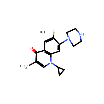 O=C(O)c1cn(C2CC2)c2cc(N3CCNCC3)c(F)cc2c1=O.[KH]